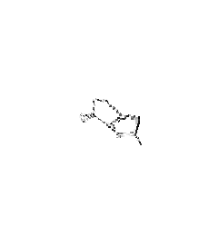 Cc1cc2c(s1)C(=O)CC2